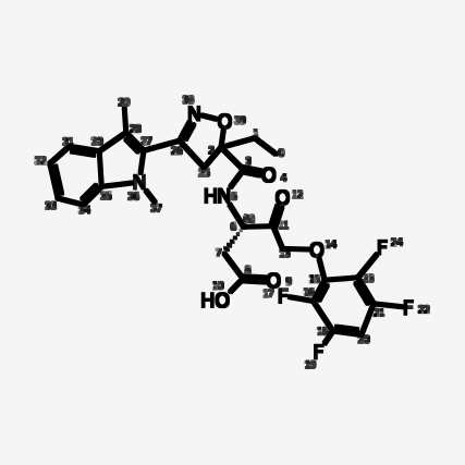 CCC1(C(=O)N[C@@H](CC(=O)O)C(=O)COc2c(F)c(F)cc(F)c2F)CC(c2c(C)c3ccccc3n2C)=NO1